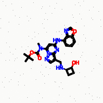 CN(C(=O)OC(C)(C)C)c1cc(Nc2cccc3ocnc23)nc2c(CN[C@H]3CC[C@@H]3O)cnn12